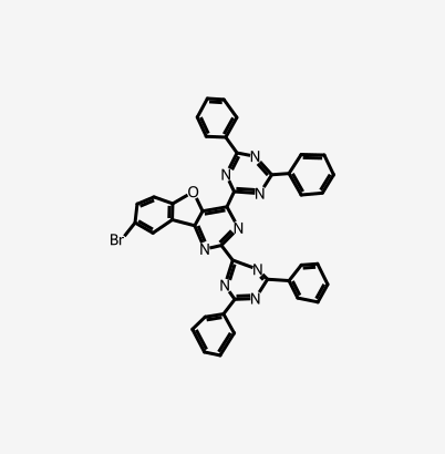 Brc1ccc2oc3c(-c4nc(-c5ccccc5)nc(-c5ccccc5)n4)nc(-c4nc(-c5ccccc5)nc(-c5ccccc5)n4)nc3c2c1